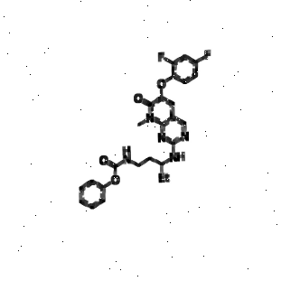 CCC(CCNC(=O)Oc1ccccc1)Nc1ncc2cc(Oc3ccc(F)cc3F)c(=O)n(C)c2n1